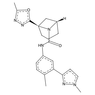 Cc1nnc([C@@]23CCC[C@@H](C2)N3C(=O)Nc2ccc(C)c(-c3ccn(C)n3)c2)o1